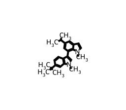 CC(C)c1cc(-c2cn(C)c3cc(C(C)(C)C)ccc23)c2c(ccn2C)c1